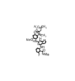 CNC(=O)c1c(F)cccc1Nc1nc(Nc2cc(N(C)C(=O)CN(C)C)c(C)cc2OC)[nH]c2nccc1-2